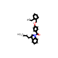 CC(C)Cc1ccccc1COc1ccc(C(=O)n2cc(CCCC(=O)O)c3ccccc32)cc1